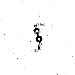 CCCCCCOc1cnc(-c2ccc(OCCC(C)CC)cc2)nc1